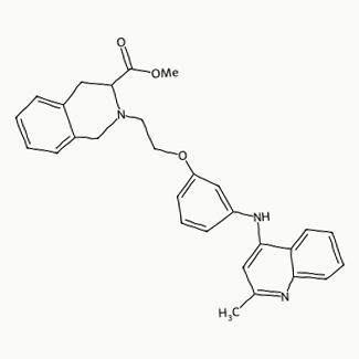 COC(=O)C1Cc2ccccc2CN1CCOc1cccc(Nc2cc(C)nc3ccccc23)c1